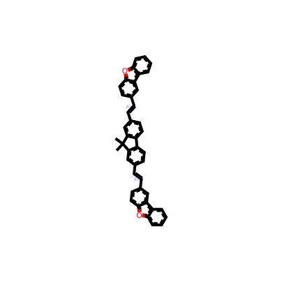 CC1(C)c2cc(/C=C/c3ccc4oc5ccccc5c4c3)ccc2-c2ccc(/C=C/c3ccc4oc5ccccc5c4c3)cc21